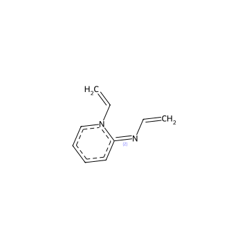 C=C/N=c1/ccccn1C=C